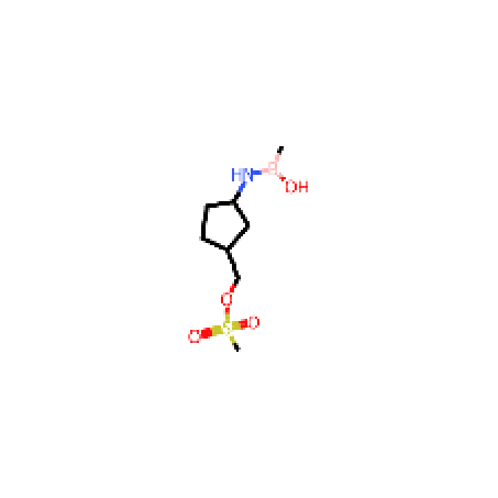 CB(O)NC1CCC(COS(C)(=O)=O)C1